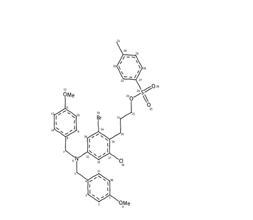 COc1ccc(CN(Cc2ccc(OC)cc2)c2cc(Cl)c(CCCOS(=O)(=O)c3ccc(C)cc3)c(Br)c2)cc1